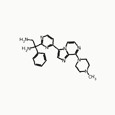 CN1CCN(c2nccn3c(-c4ccnc(C(N)(CN)c5ccccc5)n4)cnc23)CC1